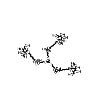 CC(=O)NC1C(OCCCCCCOP(=O)(O)OCCCOCC(C)(COCCCOP(=O)(O)OCCCCCCOC2OC(CO)C(O)C(O)C2NC(C)=O)COCCCOP(=O)(O)OCCCCCCOC2OC(CO)C(O)C(O)C2NC(C)=O)OC(CO)C(O)C1O